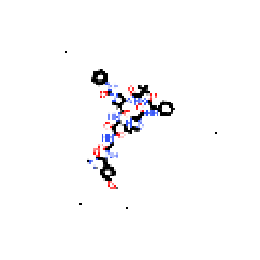 CCC[C@H](NC(=O)[C@@H]1CN(C(=O)Nc2ccccc2)C[C@@H]1NC(=O)[C@@H](NC(=O)[C@@H](NC(=O)c1cnccn1)C1CCCCC1)C(C)(C)C)C(=O)C(=O)NCC(=O)N[C@H](C(=O)N(C)C)c1ccc(OC)cc1